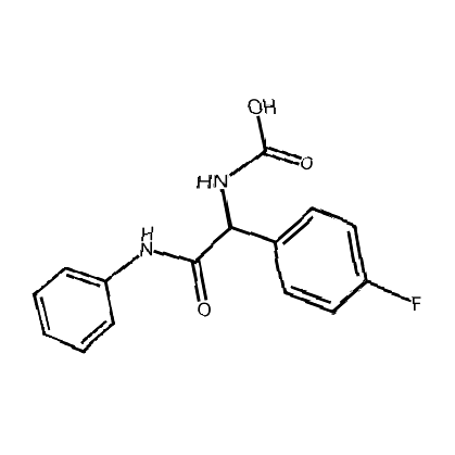 O=C(O)NC(C(=O)Nc1ccccc1)c1ccc(F)cc1